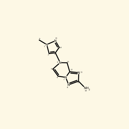 Cn1cc(N2C=Cn3nc(N)nc3C2)cn1